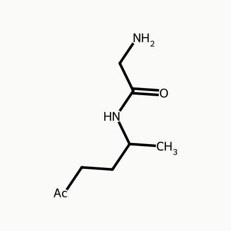 CC(=O)CCC(C)NC(=O)CN